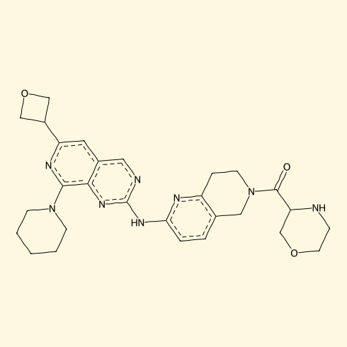 O=C(C1COCCN1)N1CCc2nc(Nc3ncc4cc(C5COC5)nc(N5CCCCC5)c4n3)ccc2C1